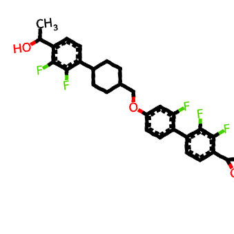 CC(O)c1ccc(C2CCC(COc3ccc(-c4ccc(C5CO5)c(F)c4F)c(F)c3)CC2)c(F)c1F